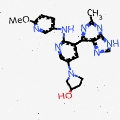 COc1ccc(Nc2ncc(N3CCC(O)C3)cc2-c2nc(C)nc3[nH]cnc23)cn1